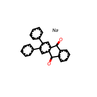 O=C1c2ccccc2C(=O)c2cc(-c3ccccc3)c(-c3ccccc3)cc21.[Na]